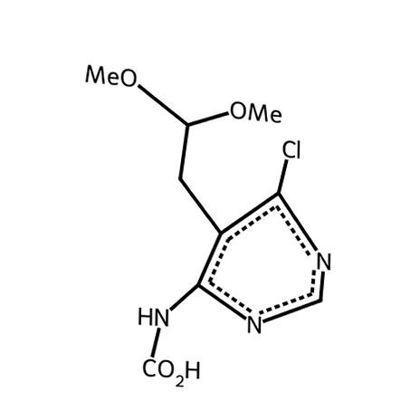 COC(Cc1c(Cl)ncnc1NC(=O)O)OC